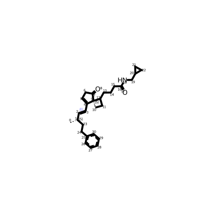 C[C@H](/C=C/C1=CCC(=O)[C@]12CCC2CCCC(=O)NCC1CC1)CCc1ccccc1